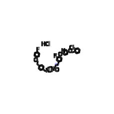 Cl.O=C(/C=C/c1ccc(Oc2ccc(OCc3ccccc3Cl)cn2)c(F)c1)N1CCN(Cc2ccc(CCOc3ccc(F)cc3)cc2)CC1